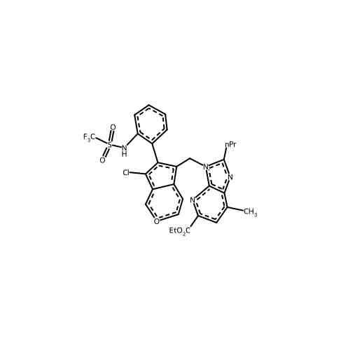 CCCc1nc2c(C)cc(C(=O)OCC)nc2n1Cc1c2ccocc-2c(Cl)c1-c1ccccc1NS(=O)(=O)C(F)(F)F